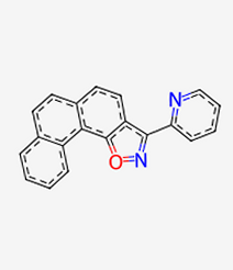 c1ccc(-c2noc3c2ccc2ccc4ccccc4c23)nc1